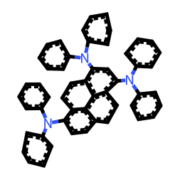 c1ccc(N(c2ccccc2)c2ccc3ccc4c(N(c5ccccc5)c5ccccc5)cc(N(c5ccccc5)c5ccccc5)c5ccc2c3c45)cc1